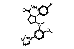 COc1ccc(-n2cnnn2)cc1N(C)[C@H]1CC[C@@H](C(N)=O)[C@@H]1c1ccc(F)cc1